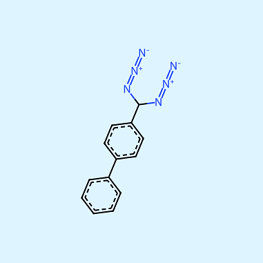 [N-]=[N+]=NC(N=[N+]=[N-])c1ccc(-c2ccccc2)cc1